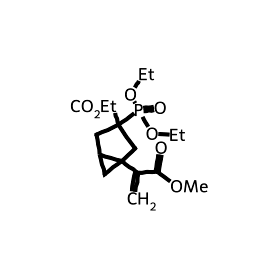 C=C(C(=O)OC)C12CC1CC(C(=O)OCC)(P(=O)(OCC)OCC)C2